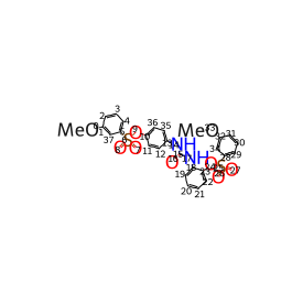 COc1cccc(S(=O)(=O)Oc2ccc(NC(=O)Nc3ccccc3OS(=O)(=O)c3cccc(OC)c3)cc2)c1